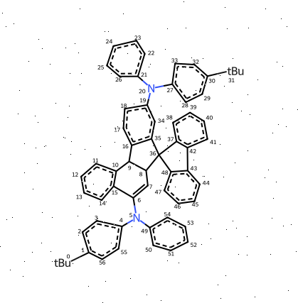 CC(C)(C)c1ccc(N(C2=CC3C(c4ccccc42)c2ccc(N(c4ccccc4)c4ccc(C(C)(C)C)cc4)cc2C32c3ccccc3-c3ccccc32)c2ccccc2)cc1